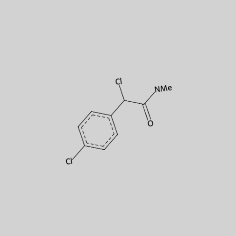 CNC(=O)C(Cl)c1ccc(Cl)cc1